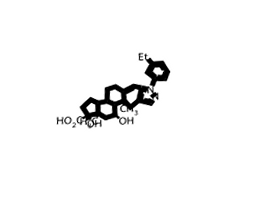 CCc1cccc(-n2ncc3c2C=C2CCC4C([C@@H](O)C[C@@]5(C)C4CC[C@]5(O)C(=O)O)[C@@]2(C)C3)c1